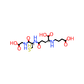 O=C(O)CCCN[C@@H](CCC(=O)N[C@@H](CS)C(=O)NCC(=O)O)C(=O)O